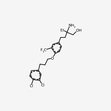 CCC(N)(CO)CCc1ccc(OCCCc2ccc(Cl)c(Cl)c2)c(C(F)(F)F)c1